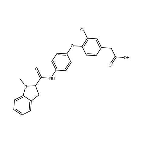 CN1c2ccccc2CC1C(=O)Nc1ccc(Oc2ccc(CC(=O)O)cc2Cl)cc1